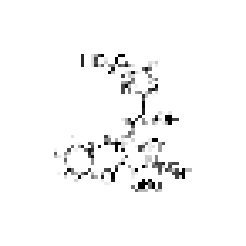 CC[C@H](C)[C@H](N=[N+]=[N-])C(=O)N(Cc1ccccc1)[C@H](C[C@@H](O)c1nc(C(=O)O)cs1)C(C)C